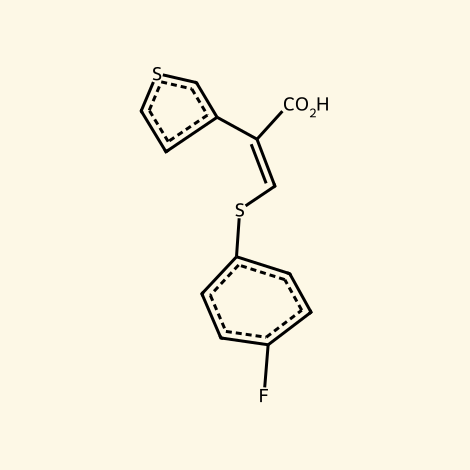 O=C(O)C(=CSc1ccc(F)cc1)c1ccsc1